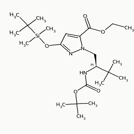 CCOC(=O)c1cc(O[Si](C)(C)C(C)(C)C)nn1C[C@H](NC(=O)OC(C)(C)C)C(C)(C)C